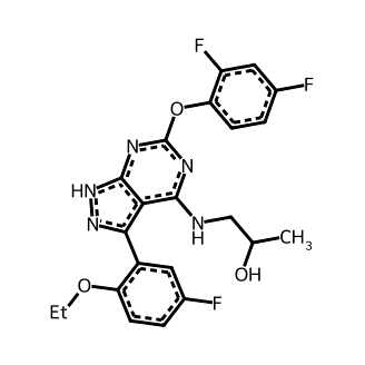 CCOc1ccc(F)cc1-c1n[nH]c2nc(Oc3ccc(F)cc3F)nc(NCC(C)O)c12